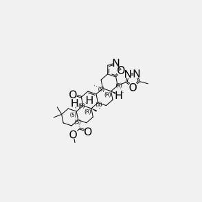 COC(=O)[C@]12CCC(C)(C)C[C@H]1[C@H]1C(=O)C=C3[C@@]4(C)Cc5cnoc5[C@@](C)(c5nnc(C)o5)[C@@H]4CC[C@@]3(C)[C@]1(C)CC2